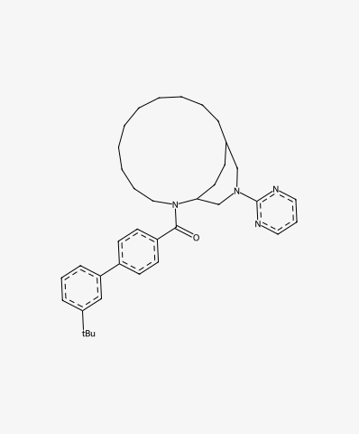 CC(C)(C)c1cccc(-c2ccc(C(=O)N3CCCCCCCCCCC4CCC3CN(c3ncccn3)C4)cc2)c1